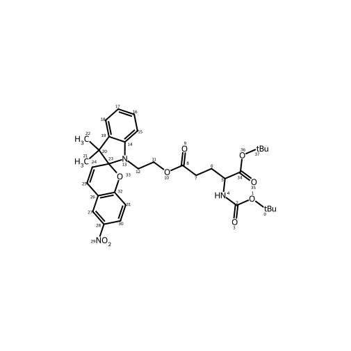 CC(C)(C)OC(=O)NC(CCC(=O)OCCN1c2ccccc2C(C)(C)C12C=Cc1cc([N+](=O)[O-])ccc1O2)C(=O)OC(C)(C)C